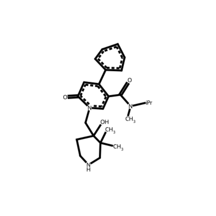 CC(C)N(C)C(=O)c1cn(CC2(O)CCNCC2(C)C)c(=O)cc1-c1ccccc1